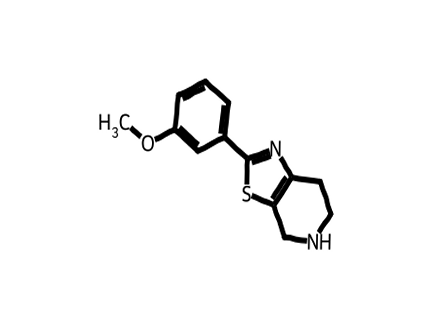 COc1cccc(-c2nc3c(s2)CNCC3)c1